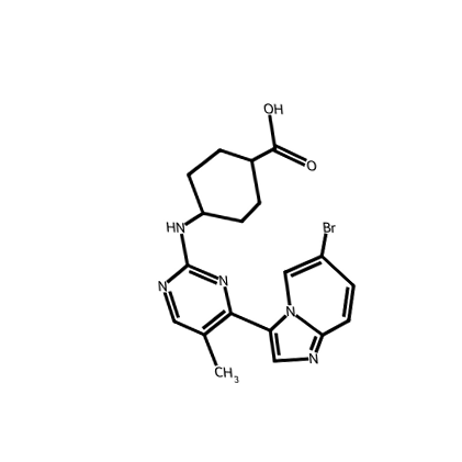 Cc1cnc(NC2CCC(C(=O)O)CC2)nc1-c1cnc2ccc(Br)cn12